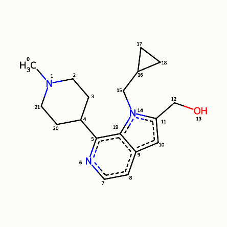 CN1CCC(c2nccc3cc(CO)n(CC4CC4)c23)CC1